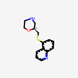 c1cc(SC[C@@H]2CNCCO2)c2cccnc2c1